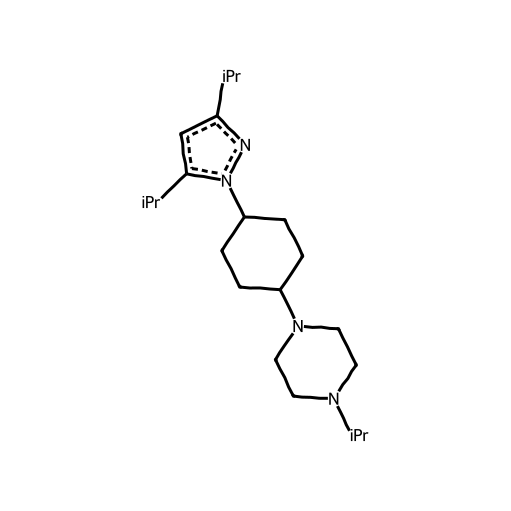 CC(C)c1cc(C(C)C)n(C2CCC(N3CCN(C(C)C)CC3)CC2)n1